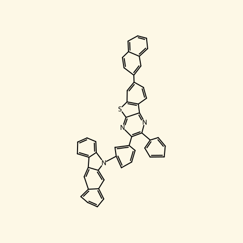 c1ccc(-c2nc3c(nc2-c2cccc(-n4c5ccccc5c5cc6ccccc6cc54)c2)sc2cc(-c4ccc5ccccc5c4)ccc23)cc1